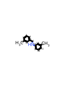 Cc1cccc(CNc2cccc(C)c2)c1